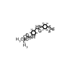 CC(C)(C)OC(=O)Nc1ccc(CC(=O)Nc2ccc(SC(F)F)cc2)cc1